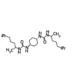 CC(C)CCCC(C)NC(=O)N[C@H]1CC[C@H](NC(=O)NC(C)CCCC(C)C)CC1